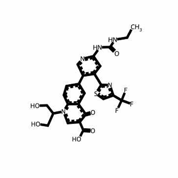 CCNC(=O)Nc1cc(-c2nc(C(F)(F)F)cs2)c(-c2ccc3c(c2)c(=O)c(C(=O)O)cn3C(CO)CO)cn1